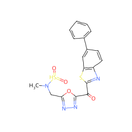 CN(Cc1nnc(C(=O)c2nc3ccc(-c4ccccc4)cc3s2)o1)[SH](=O)=O